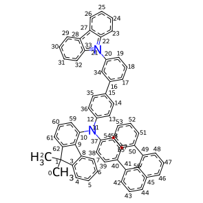 CC1(C)c2ccccc2-c2c(N(c3ccc(-c4cccc(-n5c6ccccc6c6ccccc65)c4)cc3)c3ccc(-c4cccc5cccc(-c6ccccc6)c45)cc3)cccc21